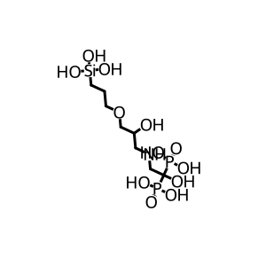 O=P(O)(O)C(O)(CNCC(O)COCCC[Si](O)(O)O)P(=O)(O)O